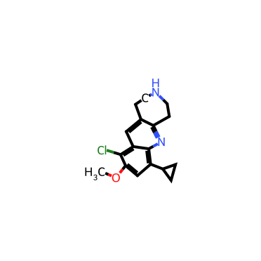 COc1cc(C2CC2)c2nc3c(cc2c1Cl)CCNCC3